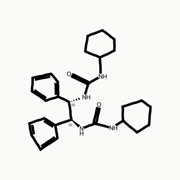 O=C(NC1CCCCC1)N[C@@H](c1ccccc1)[C@@H](NC(=O)NC1CCCCC1)c1ccccc1